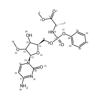 COC(=O)[C@H](C)NP(=O)(OC[C@H]1O[C@@H](n2ccc(N)nc2=O)C(OC)C1O)Oc1ccccc1